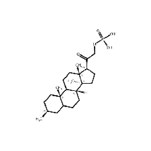 C[C@H]1CC[C@@]2(C)C(CC[C@@H]3C2CC[C@]2(C)[C@@H](C(=O)COP(=O)(O)O)CC[C@@]32C)C1